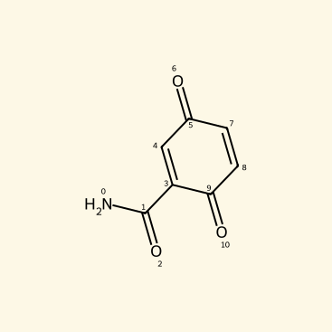 NC(=O)C1=CC(=O)C=CC1=O